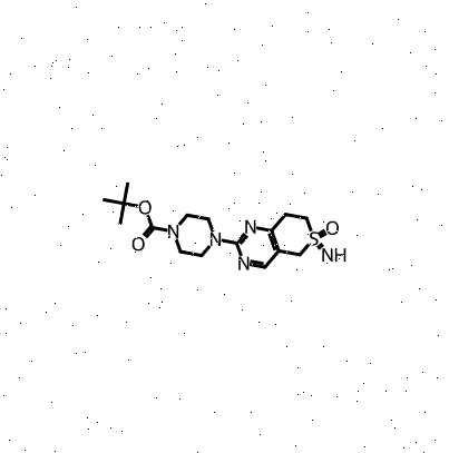 CC(C)(C)OC(=O)N1CCN(c2ncc3c(n2)CCS(=N)(=O)C3)CC1